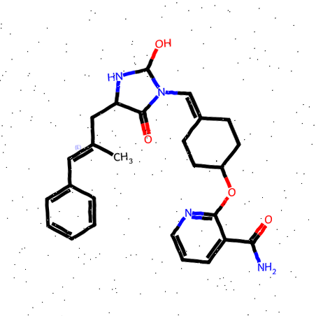 C/C(=C\c1ccccc1)CC1NC(O)N(C=C2CCC(Oc3ncccc3C(N)=O)CC2)C1=O